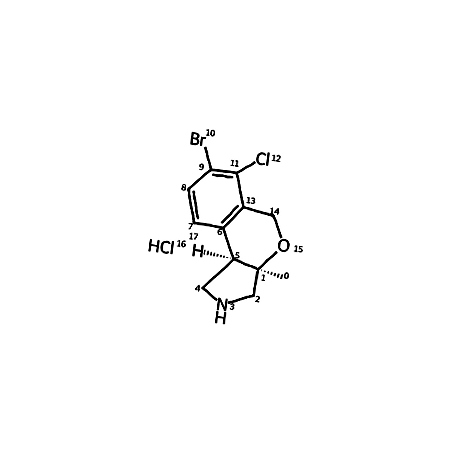 C[C@]12CNC[C@H]1c1ccc(Br)c(Cl)c1CO2.Cl